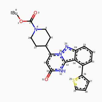 CC(C)(C)OC(=O)N1CCC(c2cc(=O)[nH]c3c4c(-c5cccs5)cccc4nn23)CC1